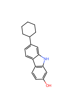 Oc1ccc2c(c1)[nH]c1cc(C3CCCCC3)ccc12